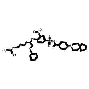 N=C(N)NCCCC[C@H](CSc1ccccc1)Nc1ccc(S(=O)(=O)NC(=O)c2ccc(N3CCC4(CCCC4)CC3)cc2)cc1[N+](=O)[O-]